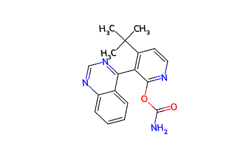 CC(C)(C)c1ccnc(OC(N)=O)c1-c1ncnc2ccccc12